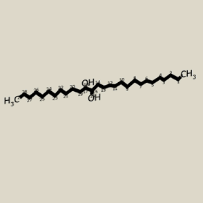 CCCCCCCCCCCCCCCC(O)C(O)CCCCCCCCCCC